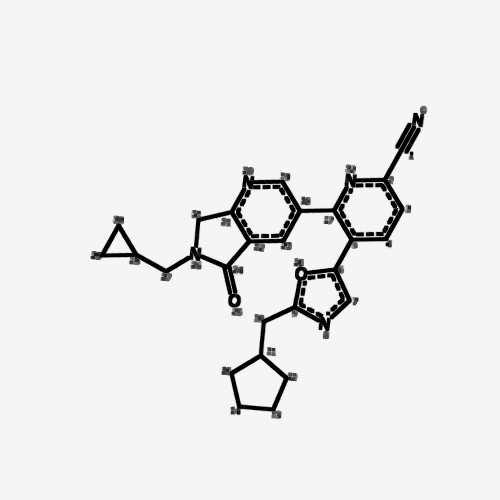 N#Cc1ccc(-c2cnc(CC3CCCC3)o2)c(-c2cnc3c(c2)C(=O)N(CC2CC2)C3)n1